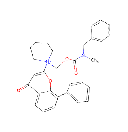 CN(Cc1ccccc1)C(=O)OC[N+]1(c2cc(=O)c3cccc(-c4ccccc4)c3o2)CCCCC1